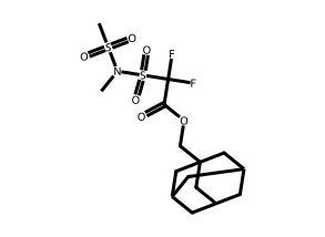 CN(S(C)(=O)=O)S(=O)(=O)C(F)(F)C(=O)OCC12CC3CC(CC(C3)C1)C2